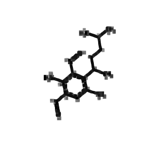 CC(C)CCC(C)c1c(N)cc(N=O)c(N)c1N=O